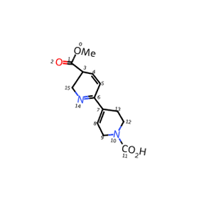 COC(=O)C1C=CC(C2=CCN(C(=O)O)CC2)=NC1